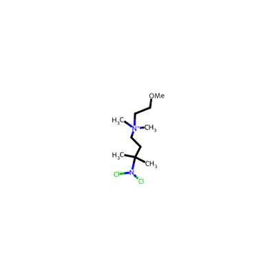 COCC[N+](C)(C)CCC(C)(C)N(Cl)Cl